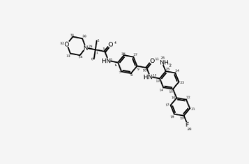 CC(C)(C(=O)Nc1ccc(C(=O)Nc2cc(-c3ccc(F)cc3)ccc2N)cc1)N1CCOCC1